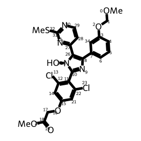 COCOc1cccc(-c2nc(-c3c(Cl)cc(OCC(=O)OC)cc3Cl)n(O)c2-c2ccnc(SC)n2)c1